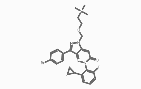 C[Si](C)(C)CCOCn1nc(-c2ccc(Br)cc2)c2nn(-c3c(F)cccc3C3CC3)c(=O)cc21